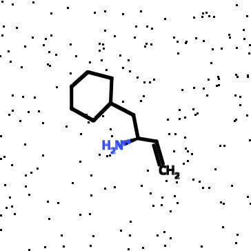 C=C[C@@H](N)CC1CCCCC1